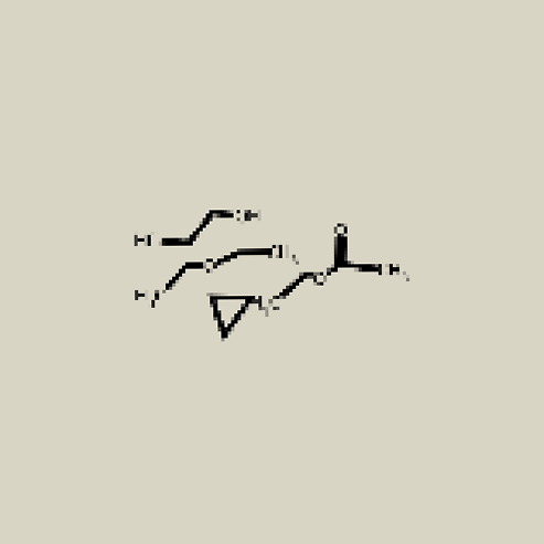 C1CC1.CCOC(C)=O.CCOCC.OCCO